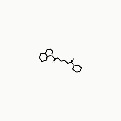 O=C(CCCCC(=O)N1CCCC2CCCC=C21)N1CCCCC1